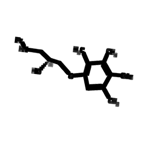 CC(=O)Oc1c(C)cc(OC[C@H](O)CNC(C)C)c(C)c1C